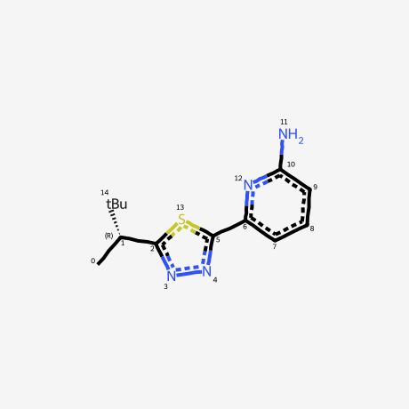 C[C@@H](c1nnc(-c2cccc(N)n2)s1)C(C)(C)C